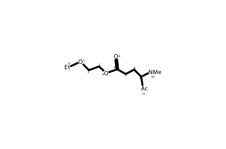 CCOCCOC(=O)CCC(NC)C(C)=O